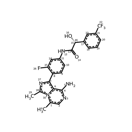 Cc1cnc(N)c2c(-c3ccc(NC(=O)[C@H](O)c4cccc(C(F)(F)F)c4)cc3F)nc(C)n12